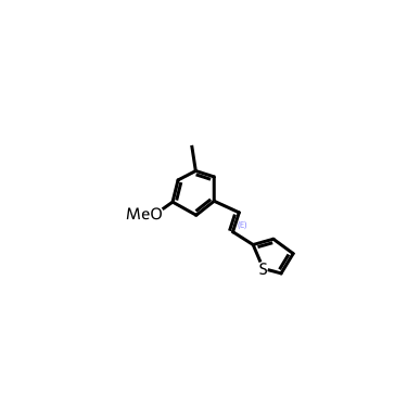 COc1cc(C)cc(/C=C/c2cccs2)c1